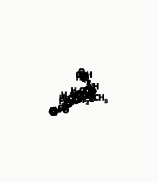 C=C(C)[C@@H]1CC[C@]2(NCCN3C[C@@H]4C[C@H]3CS4(=O)=O)CC[C@]3(C)[C@H](CC[C@@H]4[C@@]5(C)CC=C(C6=CC[C@](CF)(C(=O)OCc7ccccc7)CC6)C(C)(C)[C@@H]5CC[C@]43C)[C@@H]12